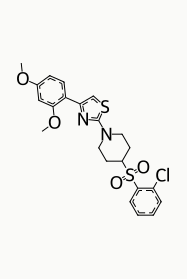 COc1ccc(-c2csc(N3CCC(S(=O)(=O)c4ccccc4Cl)CC3)n2)c(OC)c1